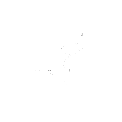 COC(=O)C[C@@H](NCC(C)=O)c1ccc(N)cc1